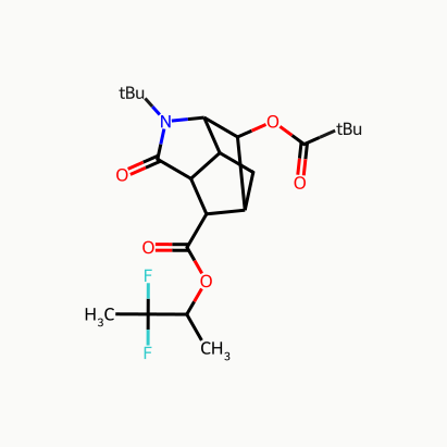 CC(OC(=O)C1C2CC3C1C(=O)N(C(C)(C)C)C3C2OC(=O)C(C)(C)C)C(C)(F)F